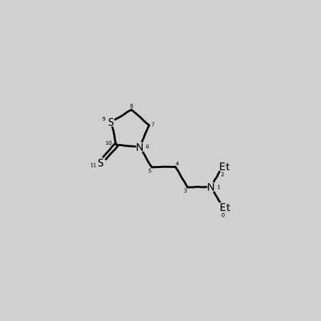 CCN(CC)CCCN1CCSC1=S